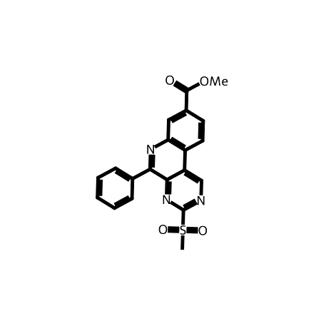 COC(=O)c1ccc2c(c1)nc(-c1ccccc1)c1nc(S(C)(=O)=O)ncc12